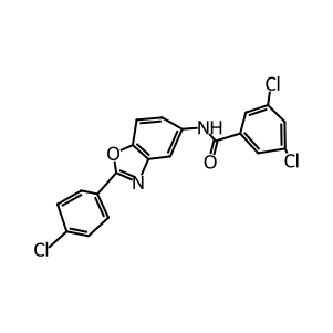 O=C(Nc1ccc2oc(-c3ccc(Cl)cc3)nc2c1)c1cc(Cl)cc(Cl)c1